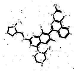 CC(=O)Nc1nc(-c2c(Cl)cc3c(N4CCNCC4C)nc(OCC4CCCN4C)nc3c2F)c2ccccc2c1F